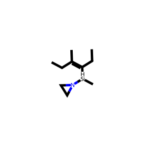 CCC(C)=C(CC)[SiH](C)N1CC1